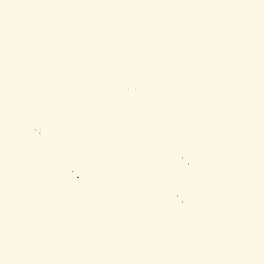 COC(=O)c1c(-c2cc(C)ncn2)cnn1C